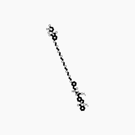 Cc1ccccc1C(=O)N1CCc2cc(-c3nc(NC(=O)Cc4cccc(OCCOCCOCCOCCOCCOCCOCCOCCOc5ccc6c(c5)C(=O)N(C5CCC(=O)NC5=O)C6=O)c4)sc3C)ccc21